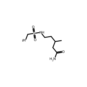 CC(C)CS(=O)(=O)NCCC(C)CC(N)=O